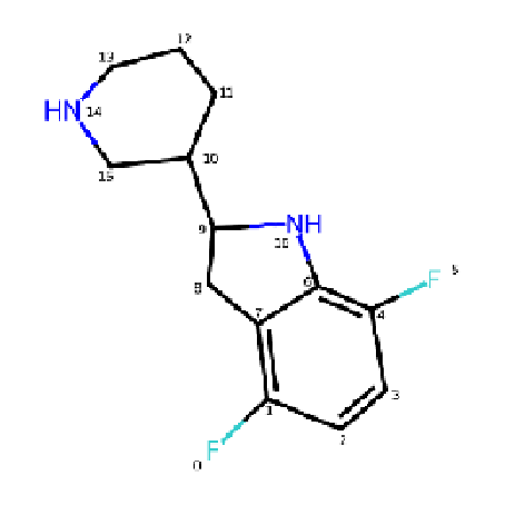 Fc1ccc(F)c2c1CC(C1CCCNC1)N2